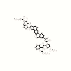 COC[C@H]1C[C@@H](c2nc(-c3ccc4c(c3)COc3cc5c(ccc6cc([C@@H]7CC[C@H](C)N7C(=O)[C@H](C)NC(=O)OC)[nH]c65)cc3-4)c[nH]2)N(C(=O)[C@H](NC(=O)OC)c2ccccc2)C1